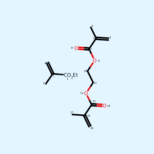 C=C(C)C(=O)OCC.C=C(C)C(=O)OCCOC(=O)C(=C)C